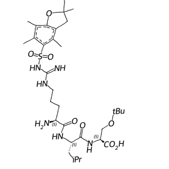 Cc1c(C)c(S(=O)(=O)NC(=N)NCCC[C@H](N)C(=O)N[C@@H](CC(C)C)C(=O)N[C@@H](COC(C)(C)C)C(=O)O)c(C)c2c1OC(C)(C)C2